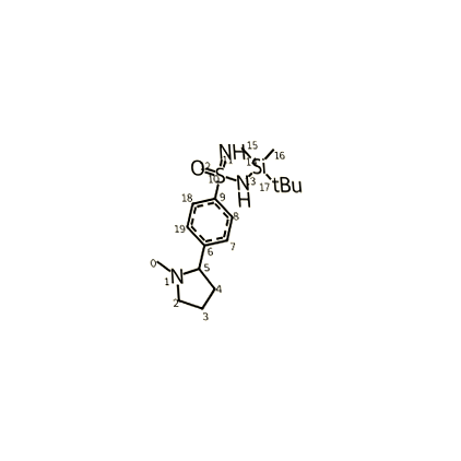 CN1CCCC1c1ccc(S(=N)(=O)N[Si](C)(C)C(C)(C)C)cc1